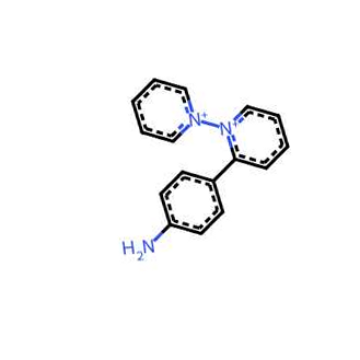 Nc1ccc(-c2cccc[n+]2-[n+]2ccccc2)cc1